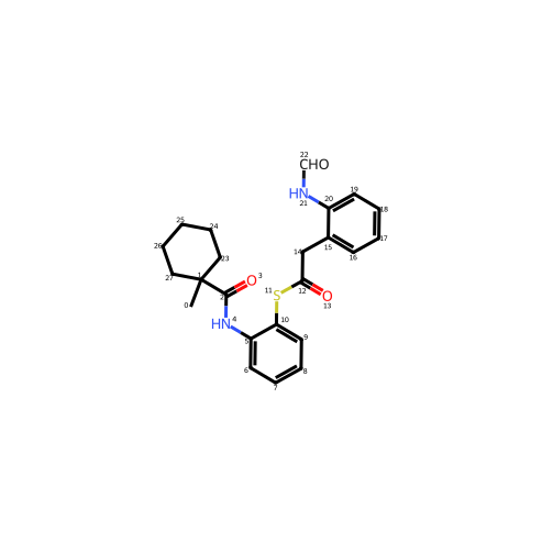 CC1(C(=O)Nc2ccccc2SC(=O)Cc2ccccc2NC=O)CCCCC1